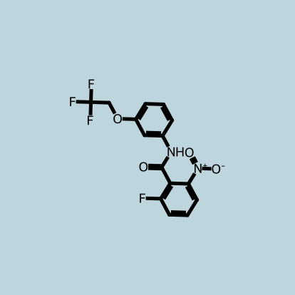 O=C(Nc1cccc(OCC(F)(F)F)c1)c1c(F)cccc1[N+](=O)[O-]